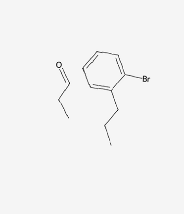 CCC=O.CCCc1ccccc1Br